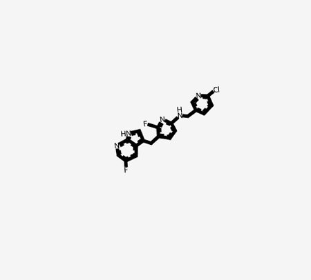 Fc1cnc2[nH]cc(Cc3ccc(NCc4ccc(Cl)nc4)nc3F)c2c1